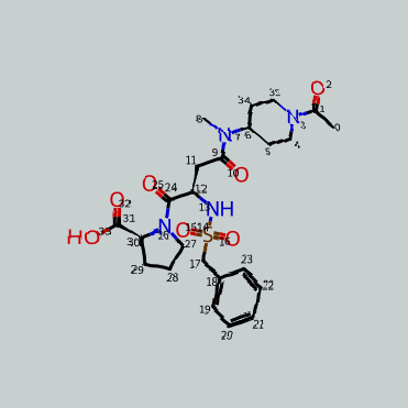 CC(=O)N1CCC(N(C)C(=O)C[C@@H](NS(=O)(=O)Cc2ccccc2)C(=O)N2CCC[C@H]2C(=O)O)CC1